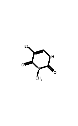 CCc1c[nH]c(=O)n(C)c1=O